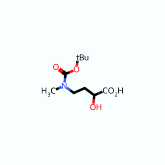 CN(CCC(O)C(=O)O)C(=O)OC(C)(C)C